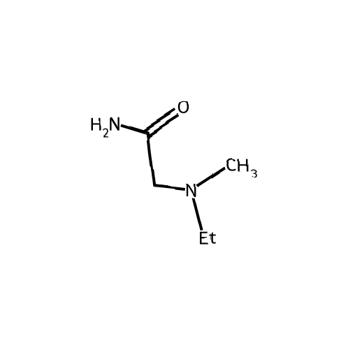 CCN(C)CC(N)=O